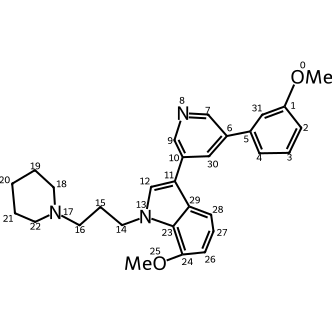 COc1cccc(-c2cncc(-c3cn(CCCN4CCCCC4)c4c(OC)cccc34)c2)c1